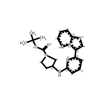 CC(C)(C)OC(=O)N1CCC(Nc2cccc(-c3cnc4cccnn34)n2)C1